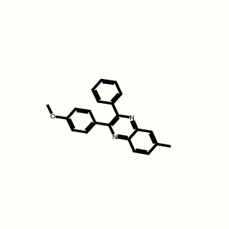 COc1ccc(-c2nc3ccc(C)cc3nc2-c2ccccc2)cc1